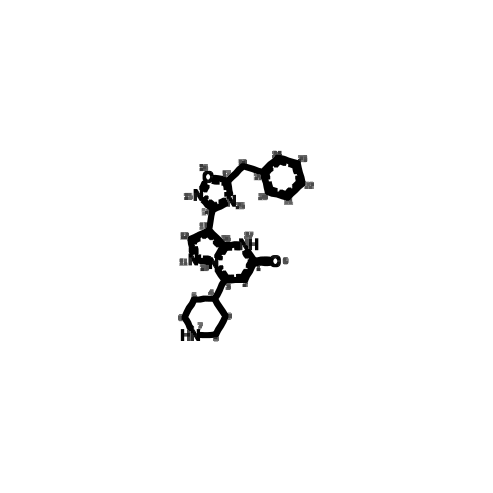 O=c1cc(C2CCNCC2)n2ncc(-c3noc(Cc4ccccc4)n3)c2[nH]1